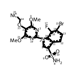 COc1nc(-n2cc(S(N)(=O)=O)c3ccc(Br)c(F)c32)nc(OC)c1OCC#N